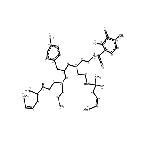 CN/C=C\CC(NCCN(CCN)CC(Cc1ccc(N)cc1)CN(CCNC(=O)c1ccn(C)c(=O)c1O)CCNC(O)(C/C=C\NC)OC)OC